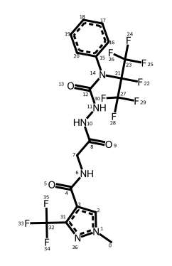 Cn1cc(C(=O)NCC(=O)NNC(=O)N(c2ccccc2)C(F)(C(F)(F)F)C(F)(F)F)c(C(F)(F)F)n1